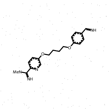 CNC(=N)c1ccc(OCCCCOc2ccc(C=N)cc2)cn1